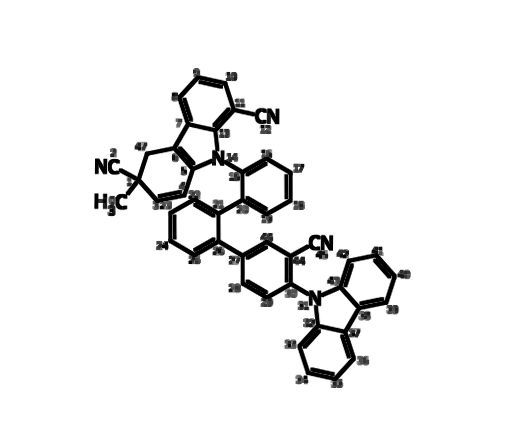 CC1(C#N)C=Cc2c(c3cccc(C#N)c3n2-c2ccccc2-c2ccccc2-c2ccc(-n3c4ccccc4c4ccccc43)c(C#N)c2)C1